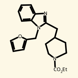 CCOC(=O)N1CCC(Cc2nc3ccccc3n2Cc2ccco2)CC1